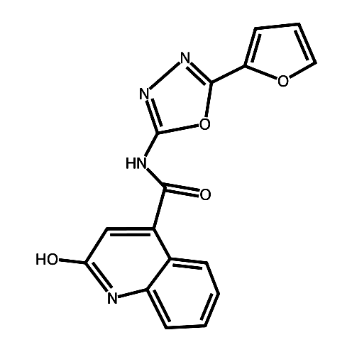 O=C(Nc1nnc(-c2ccco2)o1)c1cc(O)nc2ccccc12